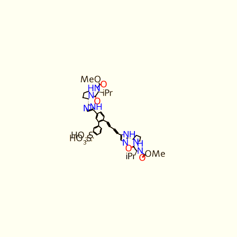 COC(=O)N[C@H](C(=O)N1CCC[C@H]1c1ncc(C#CC#Cc2ccc(-c3cnc([C@@H]4CCCN4C(=O)[C@@H](NC(=O)OC)C(C)C)[nH]3)cc2-c2ccccc2)[nH]1)C(C)C.CS(=O)(=O)O.CS(=O)(=O)O